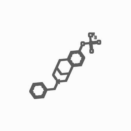 O=S(=O)(Oc1ccc2c(c1)CC1CC2CN(Cc2ccccc2)C1)C(F)(F)F